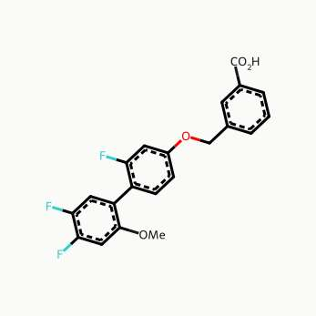 COc1cc(F)c(F)cc1-c1ccc(OCc2cccc(C(=O)O)c2)cc1F